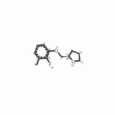 Cc1cccc(OC[C@H]2CCCO2)c1F